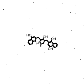 CC1CC(Cc2cc(O)c3ccccc3c2O)=C(O)C(Cc2cc(O)c3ccccc3c2O)C1